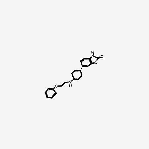 O=c1[nH]c2ccc([C@H]3CC[C@H](NCCOc4ccccc4)CC3)cc2o1